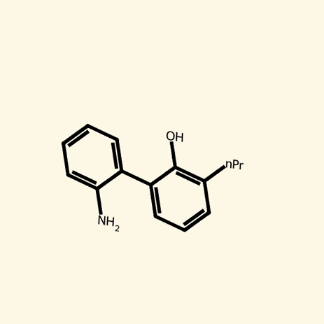 CCCc1cccc(-c2ccccc2N)c1O